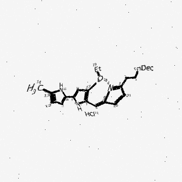 CCCCCCCCCCCCC1=NC(=Cc2[nH]c(-c3ccc(C)[nH]3)cc2OCC)C=C1.Cl